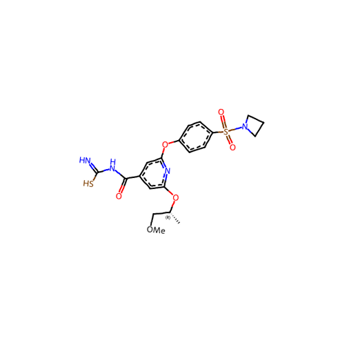 COC[C@@H](C)Oc1cc(C(=O)NC(=N)S)cc(Oc2ccc(S(=O)(=O)N3CCC3)cc2)n1